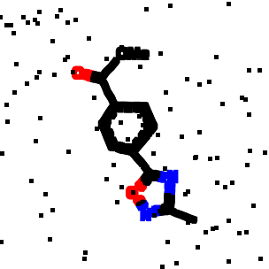 COC(=O)c1ccc(-c2nc(C)no2)cc1